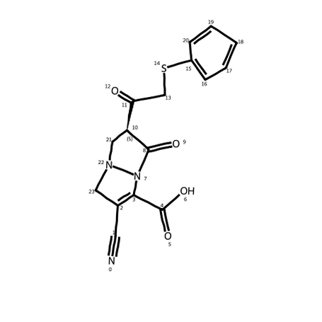 N#CC1=C(C(=O)O)N2C(=O)[C@H](C(=O)CSc3ccccc3)CN2C1